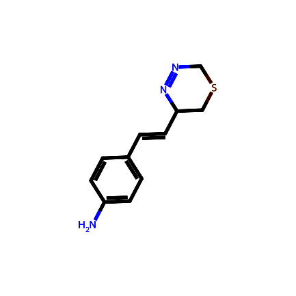 Nc1ccc(C=CC2CSCN=N2)cc1